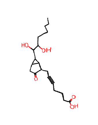 CCCCCC(O)C(O)C1C2CC(=O)C(CC#CCCCC(=O)O)C21